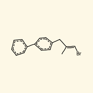 C/C(=C\Br)Cc1ccc(-c2ccccc2)cc1